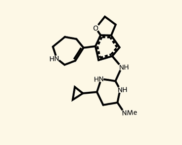 CNC1CC(C2CC2)NC(Nc2cc3c(c(C4=CCNCCC4)c2)OCC3)N1